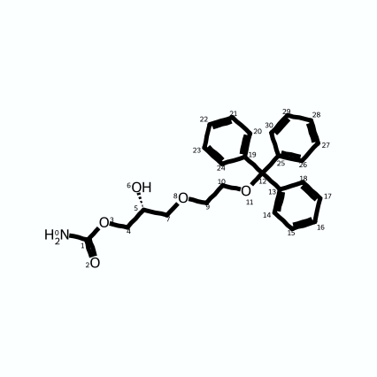 NC(=O)OC[C@H](O)COCCOC(c1ccccc1)(c1ccccc1)c1ccccc1